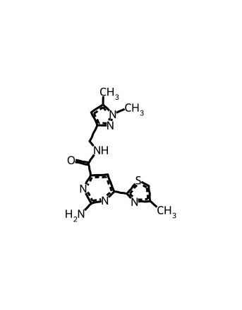 Cc1csc(-c2cc(C(=O)NCc3cc(C)n(C)n3)nc(N)n2)n1